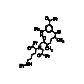 CC(C)NCCCCC(C(=O)C(C)C)N(CC(=O)C(C)C)CC(=O)C(C)CCC(C)C(=O)c1cc(NC(C)C)cc(C(=O)C(C)C)c1